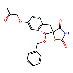 CC(=O)COc1ccc(CC2(C(=O)OCc3ccccc3)SC(=O)NC2=O)cc1